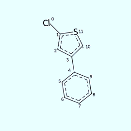 Clc1cc(-c2ccccc2)[c]s1